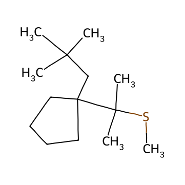 CSC(C)(C)C1(CC(C)(C)C)CCCC1